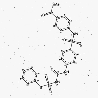 COC(=O)c1ccc(NS(=O)(=O)c2ccc(NC(=O)NS(=O)(=O)Cc3ccccc3)cc2)cc1